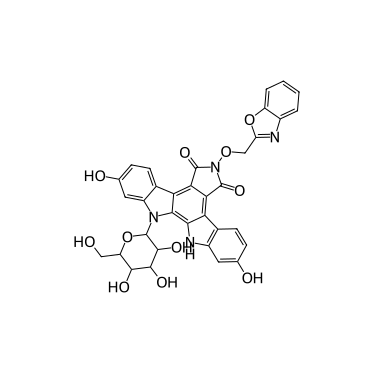 O=C1c2c(c3c4ccc(O)cc4n(C4OC(CO)C(O)C(O)C4O)c3c3[nH]c4cc(O)ccc4c23)C(=O)N1OCc1nc2ccccc2o1